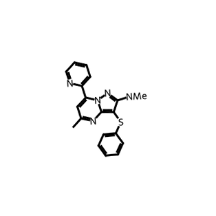 CNc1nn2c(-c3ccccn3)cc(C)nc2c1Sc1ccccc1